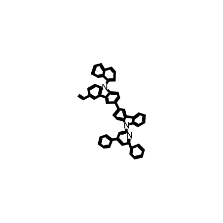 C=Cc1ccc2c(c1)c1cc(-c3ccc4c(c3)c3ccccc3n4-c3cc(-c4ccccc4)cc(-c4ccccc4)n3)ccc1n2-c1cccc2ccccc12